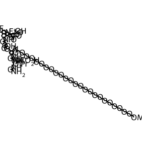 CC[C@@]1(O)C(=O)OCc2c1cc1n(c2=O)Cc2c-1nc1cc(F)c(C)c3c1c2[C@@H](NC(=O)COP(=O)(O)OCc1ccc(NC(=O)[C@H](CCCNC(N)=O)NC(=O)[C@@H](NC(=O)O)C(C)C)cc1CN(C)C(=O)CCOCCOCCOCCOCCOCCOCCOCCOCCOCCOCCOCCOCCOCCOCCOCCOCCOCCOCCOCCOCCOCCOCCOCCOC)CC3